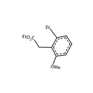 CCOC(=O)Cc1c(CC)cccc1OC